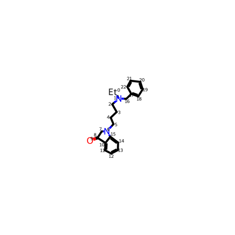 CCN(CCCCN1CC(=O)c2ccccc21)Cc1ccccc1